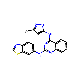 Cc1cc(Nc2nc(Nc3ccc4ncsc4c3)nc3ccccc23)[nH]n1